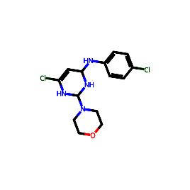 ClC1=CC(Nc2ccc(Cl)cc2)NC(N2CCOCC2)N1